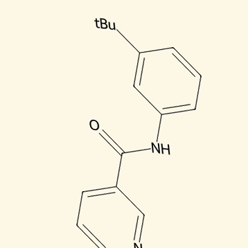 CC(C)(C)c1cccc(NC(=O)c2cccnc2)c1